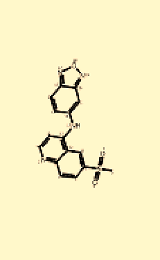 CS(=O)(=O)c1ccc2nccc(Nc3ccc4nonc4c3)c2c1